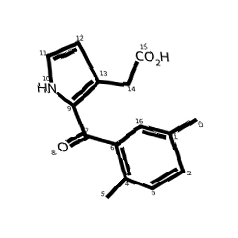 Cc1ccc(C)c(C(=O)c2[nH]ccc2CC(=O)O)c1